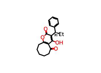 CC[C@H](c1ccccc1)c1c(O)c2c(oc1=O)CCCCCC2=O